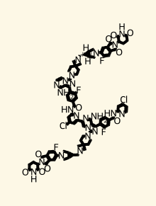 Nc1nccn2c(N3CCC4(CC3)CN(C[C@@H]3[C@H]5CN(c6cc7c(cc6F)C(=O)N(C6CCC(=O)NC6=O)C7=O)C[C@@H]35)C4)nc(-c3ccc(C(=O)Nc4cc(Cl)cc(-c5cn6c(N7CCC8(CC7)CN(CC7C9CN(c%10cc%11c(cc%10F)C(=O)N(C%10CCC(=O)NC%10=O)C%11=O)CC79)C8)nc(-c7ccc(C(=O)Nc8cc(Cl)ccn8)cc7F)c6c(N)n5)n4)cc3F)c12